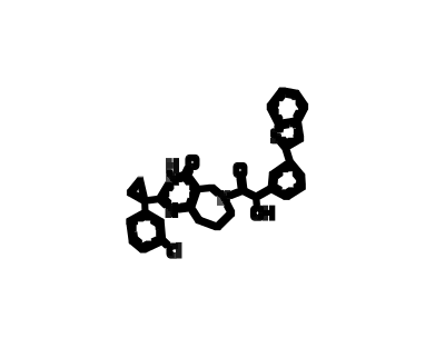 O=C(C(O)c1cccc(-c2cc3ccccc3s2)c1)N1CCCc2nc(C3(c4cccc(Cl)c4)CC3)[nH]c(=O)c2C1